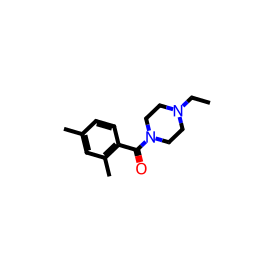 CCN1CCN(C(=O)c2ccc(C)cc2C)CC1